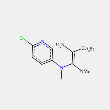 CCOC(=O)C(=C(NC)N(C)c1ccc(Cl)nc1)[N+](=O)[O-]